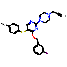 C#CCN1CCN(c2ncc(Sc3ccc(C#N)cc3)c(OCc3cccc(I)c3)n2)CC1